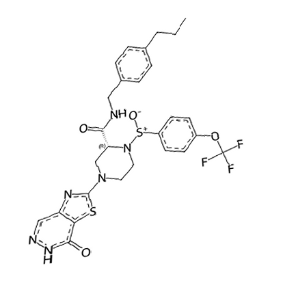 CCCc1ccc(CNC(=O)[C@H]2CN(c3nc4cn[nH]c(=O)c4s3)CCN2[S+]([O-])c2ccc(OC(F)(F)F)cc2)cc1